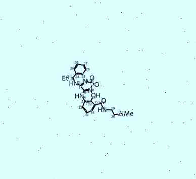 CC[C@@H](NC1=NS(=O)(=O)N=C1Nc1cccc(C(=O)NCCNC)c1O)c1ccccc1